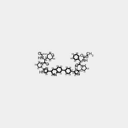 COC(=O)N[C@@H](C(=O)N1CCC[C@H]1c1ncc(-c2ccc(-c3ccc4cc(-c5c[nH]c([C@@H]6CCCN6C(=O)[C@@H](NC=O)C6CCOCC6)n5)cnc4c3)cc2)[nH]1)c1ccccc1